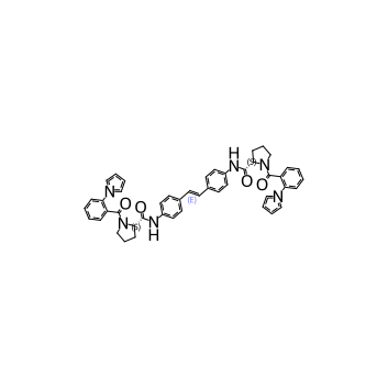 O=C(Nc1ccc(/C=C/c2ccc(NC(=O)[C@@H]3CCCN3C(=O)c3ccccc3-n3cccc3)cc2)cc1)[C@@H]1CCCN1C(=O)c1ccccc1-n1cccc1